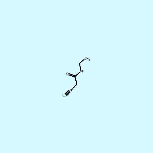 [C-]#[N+]CC(=O)NCC